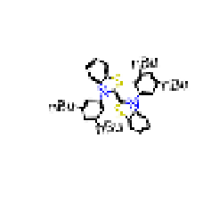 CCCCc1cc(CCCC)cc(N2/C(=C3\Sc4ccccc4N3c3cc(CCCC)cc(CCCC)c3)Sc3ccccc32)c1